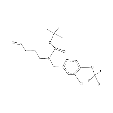 CC(C)(C)OC(=O)N(CCCC=O)Cc1ccc(OC(F)(F)F)c(Cl)c1